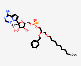 CCCCCCCCCCCCCCCCCCOC[C@H](CO[P@](O)(=S)OC[C@H]1O[C@@](C)(c2ccc3c(N)ncnn23)[C@H](O)[C@@H]1O)OCc1ccccc1